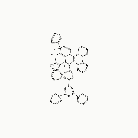 CC1C2=C3C(C)(C=CC2(C)c2ccccc2)c2c(c4ccccc4c4ccccc24)N(c2ccc(-c4cc(-c5ccccc5)cc(-c5ccccc5)c4)cc2)C3(C)c2c1oc1ccccc21